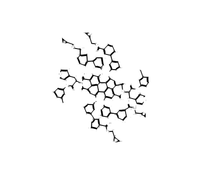 Cc1cccc(NC(=O)C(Cc2ccncc2)N2C(=O)c3cc(Oc4cccc(-c5cccc(C(=O)NCC6CO6)c5)c4)c4c5c(Oc6cccc(-c7cccc(C(=O)NCC8CO8)c7)c6)cc6c7c(cc(Oc8cccc(-c9cccc(C(=O)NCC%10CO%10)c9)c8)c(c8c(Oc9cccc(-c%10cccc(C(=O)NCC%11CO%11)c%10)c9)cc(c3c48)C2=O)c75)C(=O)N(C(Cc2ccncc2)C(=O)Nc2cccc(C)c2)C6=O)c1